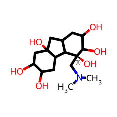 CN(C)C[C@@]1(O)C(O)C(O)CC2CC3(O)CC(O)C(O)CC3C21